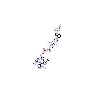 CC(C)(C1CCN(C(=O)COC(=O)N2CC(Oc3cnc(-c4c(-c5nn(C(C)(C)C)c6ncnc(N)c56)noc4C4CC4)nc3)C2)CC1)N1CCN(c2cccc3c2CCN3[C@H]2CCC(=O)NC2=O)CC1